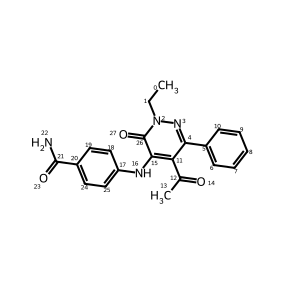 CCn1nc(-c2ccccc2)c(C(C)=O)c(Nc2ccc(C(N)=O)cc2)c1=O